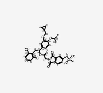 CS(=O)(=O)Nc1ccc2c(c1)C(=O)N(CC(=O)O[C@@H](Cc1c(Cl)cncc1Cl)c1ccc(OC(F)F)c(OCC3CC3)c1)C2=O